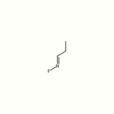 CCC=NF